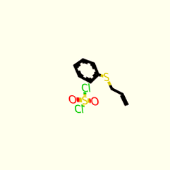 C=CCSc1ccccc1.O=S(=O)(Cl)Cl